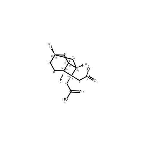 O=C(O)C[C@@]1(C[N+](=O)[O-])[C@@H]2C[C@@H]3CC[C@H]1[C@H]2C3